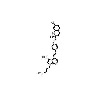 O=C(O)CCCn1cc(C(=O)O)c2c(C=Cc3ccc(OCC4(Cl)C=Cc5ccc(Cl)cc5N4)cc3)cccc21